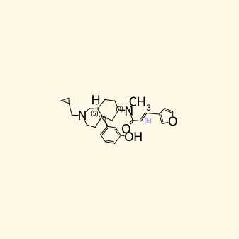 CN(C(=O)/C=C/c1ccoc1)[C@@H]1CC[C@@H]2CN(CC3CC3)CC[C@@]2(c2cccc(O)c2)C1